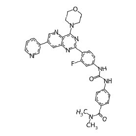 CN(C)C(=O)c1ccc(NC(=O)Nc2ccc(-c3nc(N4CCOCC4)c4ncc(-c5cccnc5)cc4n3)c(F)c2)cc1